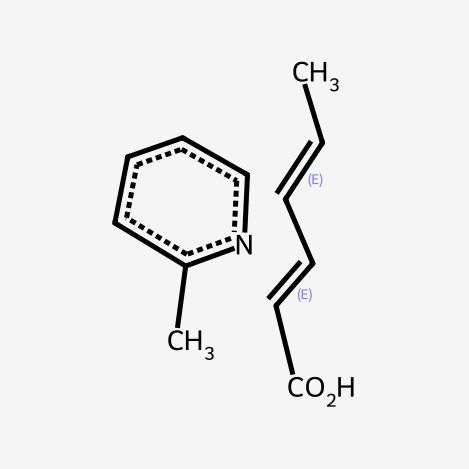 C/C=C/C=C/C(=O)O.Cc1ccccn1